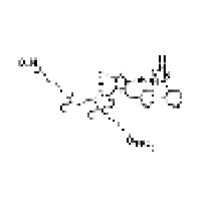 CCCCc1nc(Cl)c(C(=O)NC(CCC(=O)OCCCCO[N+](=O)[O-])C(=O)OCCCCO[N+](=O)[O-])n1Cc1ccc(-c2ccccc2-c2nn[nH]n2)cc1